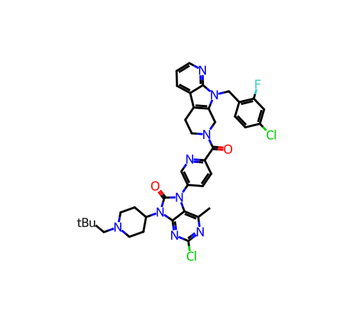 Cc1nc(Cl)nc2c1n(-c1ccc(C(=O)N3CCc4c(n(Cc5ccc(Cl)cc5F)c5ncccc45)C3)nc1)c(=O)n2C1CCN(CC(C)(C)C)CC1